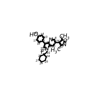 Cc1noc(C)c1-c1cnc2c(-c3ccc(O)cc3)cn(CC3(F)CCCCC3)c2c1